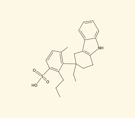 CCCc1c(S(=O)(=O)O)ccc(C)c1C1(CC)CCc2[nH]c3ccccc3c2C1